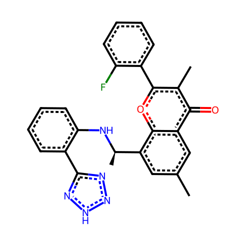 Cc1cc([C@@H](C)Nc2ccccc2-c2nn[nH]n2)c2oc(-c3ccccc3F)c(C)c(=O)c2c1